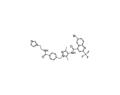 Cc1nn(Cc2ccc(C(=O)NCCn3ccnc3)cc2)c(C)c1NC(=O)c1cc(C(F)(F)F)nc2ccc(Br)cc12